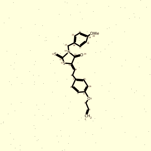 C=CCOc1ccc(C/C=C2\SC(=S)N(Cc3ccc(OC)cc3)C2=O)cc1